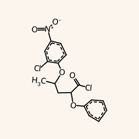 CC(CC(Oc1ccccc1)C(=O)Cl)Oc1ccc([N+](=O)[O-])cc1Cl